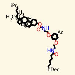 CCCCCCCCCCCCCCCC(=O)NCCOc1cc(OCCNC(=O)O[C@H]2CC[C@@]3(C)C(=CC[C@H]4[C@@H]5CC[C@H]([C@H](C)CCCC(C)C)[C@@]5(C)CC[C@@H]43)C2)cc(C(C)=O)c1